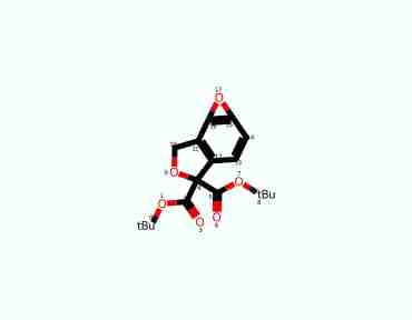 CC(C)(C)OC(=O)C1(C(=O)OC(C)(C)C)OCc2c1ccc1c2O1